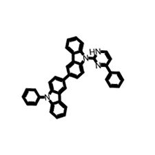 C1=CCC(n2c3ccccc3c3cc(-c4ccc5c(c4)c4ccccc4n5C4N=C(c5ccccc5)C=CN4)ccc32)C=C1